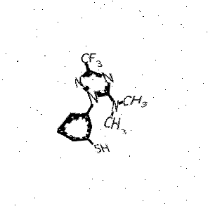 CN(C)c1nc(C(F)(F)F)nn1-c1cccc(S)c1